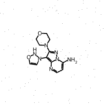 Nc1ccnc2c(N3C=CON3)c(N3CCOCC3)nn12